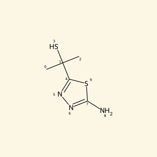 CC(C)(S)c1nnc(N)s1